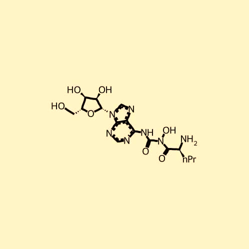 CCC[C@H](N)C(=O)N(O)C(=O)Nc1ncnc2c1ncn2[C@@H]1O[C@H](CO)[C@@H](O)[C@H]1O